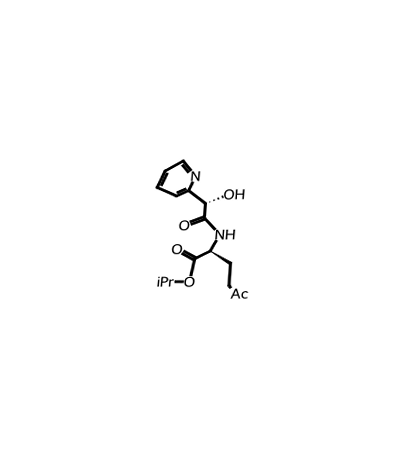 CC(=O)CC[C@H](NC(=O)[C@@H](O)c1ccccn1)C(=O)OC(C)C